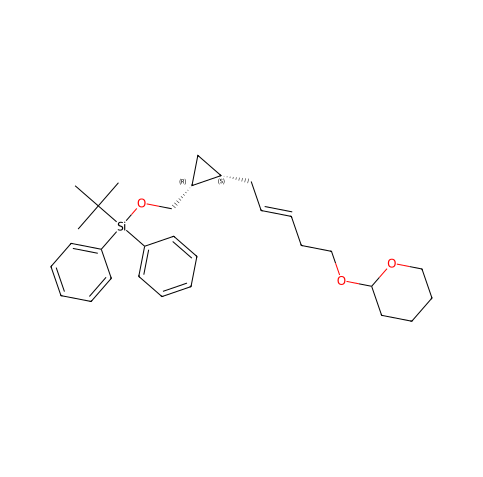 CC(C)(C)[Si](OC[C@@H]1C[C@@H]1CC=CCCOC1CCCCO1)(c1ccccc1)c1ccccc1